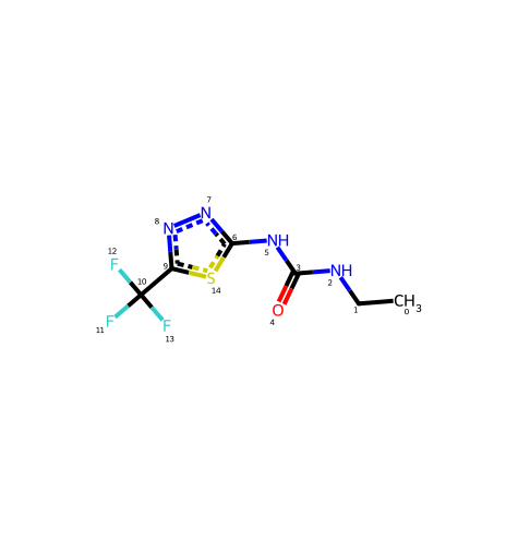 CCNC(=O)Nc1nnc(C(F)(F)F)s1